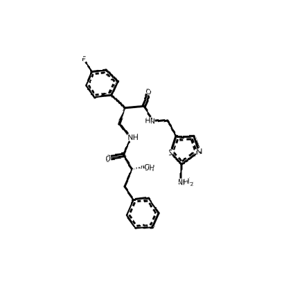 Nc1ncc(CNC(=O)[C@@H](CNC(=O)[C@H](O)Cc2ccccc2)c2ccc(F)cc2)s1